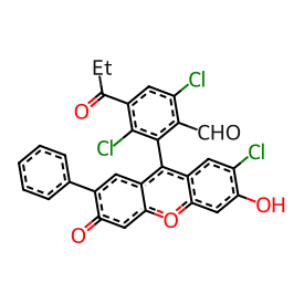 CCC(=O)c1cc(Cl)c(C=O)c(-c2c3cc(-c4ccccc4)c(=O)cc-3oc3cc(O)c(Cl)cc23)c1Cl